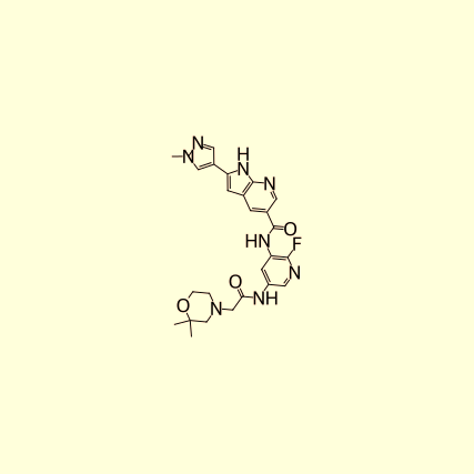 Cn1cc(-c2cc3cc(C(=O)Nc4cc(NC(=O)CN5CCOC(C)(C)C5)cnc4F)cnc3[nH]2)cn1